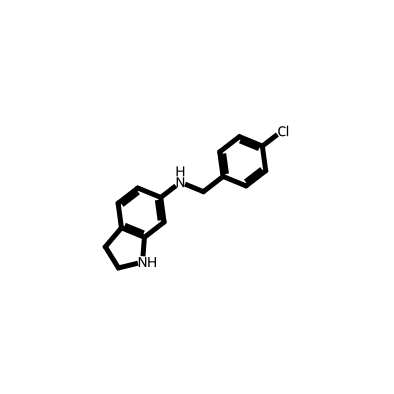 Clc1ccc(CNc2ccc3c(c2)NCC3)cc1